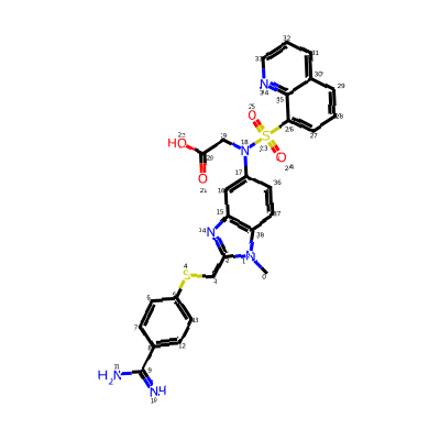 Cn1c(CSc2ccc(C(=N)N)cc2)nc2cc(N(CC(=O)O)S(=O)(=O)c3cccc4cccnc34)ccc21